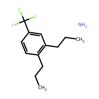 CCCc1ccc(C(F)(F)F)cc1CCC.N